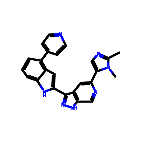 Cc1ncc(-c2cc3c(-c4cc5c(-c6ccncc6)cccc5[nH]4)n[nH]c3cn2)n1C